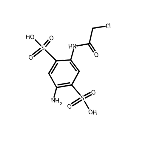 Nc1cc(S(=O)(=O)O)c(NC(=O)CCl)cc1S(=O)(=O)O